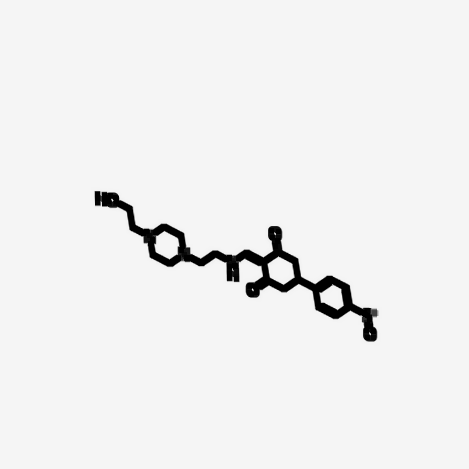 O=[S+]c1ccc(C2CC(=O)C(=CNCCN3CCN(CCO)CC3)C(=O)C2)cc1